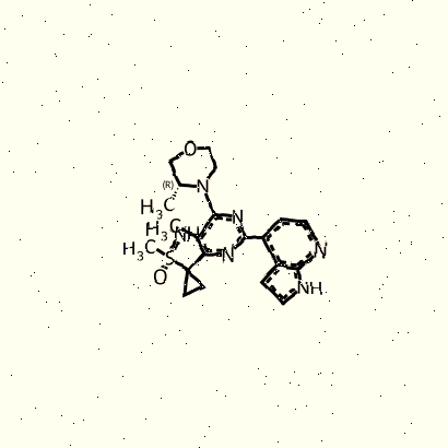 Cc1c(N2CCOC[C@H]2C)nc(-c2ccnc3[nH]ccc23)nc1C1(S(C)(=N)=O)CC1